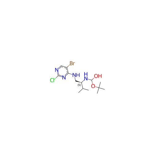 CC(C)[C@@H](CNc1nc(Cl)ncc1Br)NC(O)OC(C)(C)C